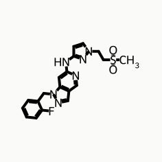 CS(=O)(=O)CCn1ccc(Nc2cc3c(cn2)cnn3Cc2ccccc2F)n1